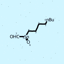 CCCCCCC[CH2][Sn](=[O])[CH]=O